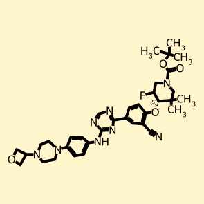 CC(C)(C)OC(=O)N1CC(F)[C@@H](Oc2ccc(-c3ncnc(Nc4ccc(N5CCN(C6COC6)CC5)cc4)n3)cc2C#N)C(C)(C)C1